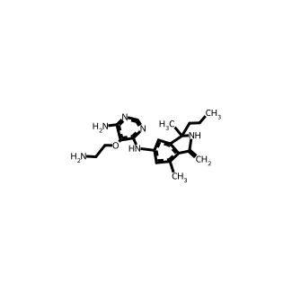 C=C1NC(C)(CCC)c2cc(Nc3ncnc(N)c3OCCN)cc(C)c21